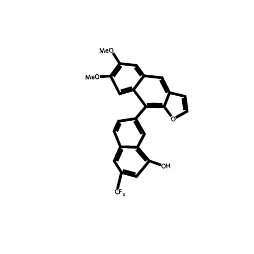 COc1cc2cc3ccoc3c(-c3ccc4cc(C(F)(F)F)cc(O)c4c3)c2cc1OC